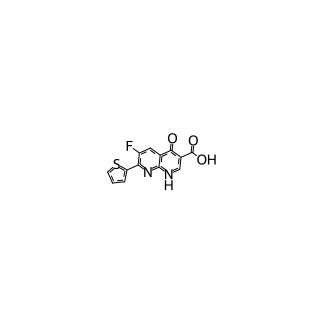 O=C(O)c1c[nH]c2nc(-c3cccs3)c(F)cc2c1=O